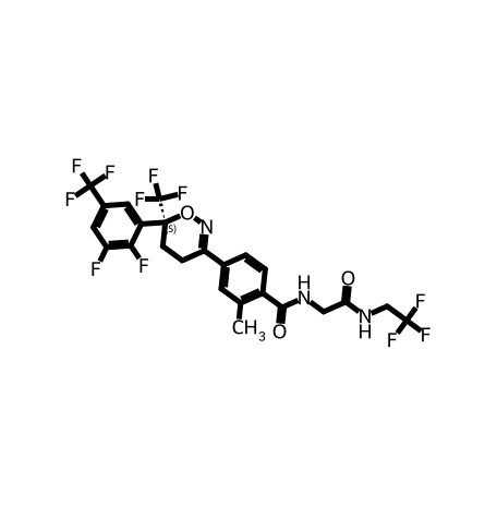 Cc1cc(C2=NO[C@@](c3cc(C(F)(F)F)cc(F)c3F)(C(F)(F)F)CC2)ccc1C(=O)NCC(=O)NCC(F)(F)F